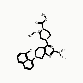 C[S+]([O-])c1nc2c(c(N3CCN(C(=O)OC(C)(C)C)[C@@H](CC#N)C3)n1)CCN(c1cccc3cccc(Cl)c13)C2